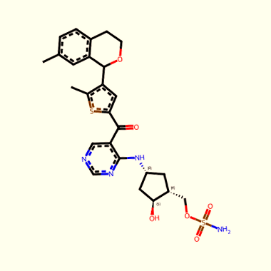 Cc1ccc2c(c1)C(c1cc(C(=O)c3cncnc3N[C@@H]3C[C@H](COS(N)(=O)=O)[C@@H](O)C3)sc1C)OCC2